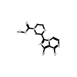 CC(C)(C)OC(=O)N1CCOC(c2nc(Br)c3c(Cl)nccn23)C1